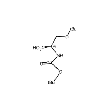 CC(C)(C)OC[C@@H](NC(=O)OC(C)(C)C)C(=O)O